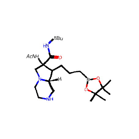 CC(=O)NC1(C(=O)NC(C)(C)C)CN2CCNC[C@H]2C1CCCB1OC(C)(C)C(C)(C)O1